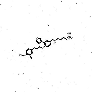 CC(C)Oc1ccc(CCCOc2ccc(CNCCCO[PH](=O)O)cc2-c2ccoc2)cc1Cl